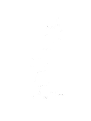 CSC1=NC(=O)/C(=C/c2ccc(OCc3ccc(C)cc3)cc2)S1